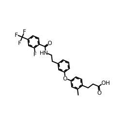 Cc1cc(Oc2cccc(CCNC(=O)c3ccc(C(F)(F)F)cc3F)c2)ccc1CCC(=O)O